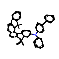 CC1(C)c2cc(N(c3ccccc3)c3ccc(-c4ccccc4)cc3)ccc2-c2c1ccc1ccc3c(c21)C(C)(C)c1ccccc1-3